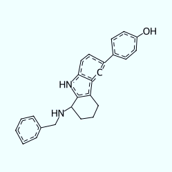 Oc1ccc(-c2ccc3[nH]c4c(c3c2)CCCC4NCc2ccccc2)cc1